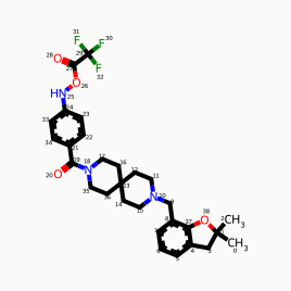 CC1(C)Cc2cccc(CN3CCC4(CC3)CCN(C(=O)c3ccc(NOC(=O)C(F)(F)F)cc3)CC4)c2O1